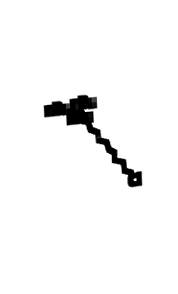 CCCCC(CCCC)(CCCC)CCCCCCCCCCCCCCl